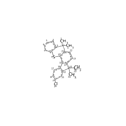 CC1(C)c2ccccc2Sc2c1ccc1c2-c2ccc(Cl)cc2C1(C)C